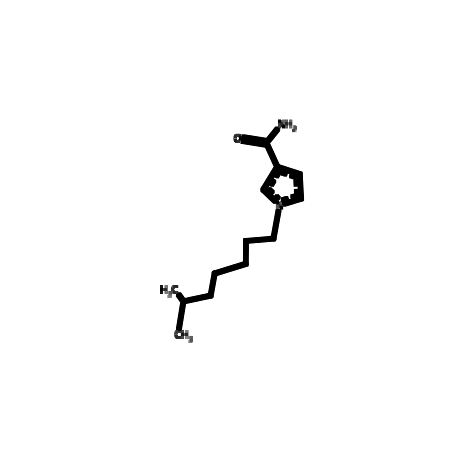 CC(C)CCCCCn1ccc(C(N)=O)c1